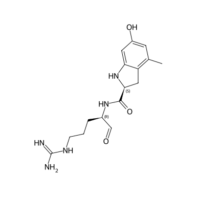 Cc1cc(O)cc2c1C[C@@H](C(=O)N[C@@H](C=O)CCCNC(=N)N)N2